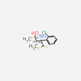 C[C@H](O)[C@@H](C)[C@@](N)(c1ccccc1Cl)C(F)F